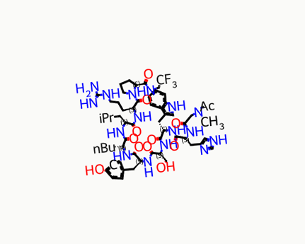 CCCC[C@@H](NC(=O)[C@H](Cc1ccc(O)cc1)NC(=O)[C@H](CO)NC(=O)[C@H](Cc1c[nH]c2ccccc12)NC(=O)[C@H](Cc1c[nH]cn1)NC(=O)CN(C)C(C)=O)C(=O)N[C@@H](CC(C)C)C(=O)N[C@@H](CCCNC(=N)N)C(=O)N1CCC[C@H]1C(=O)NCC(F)(F)F